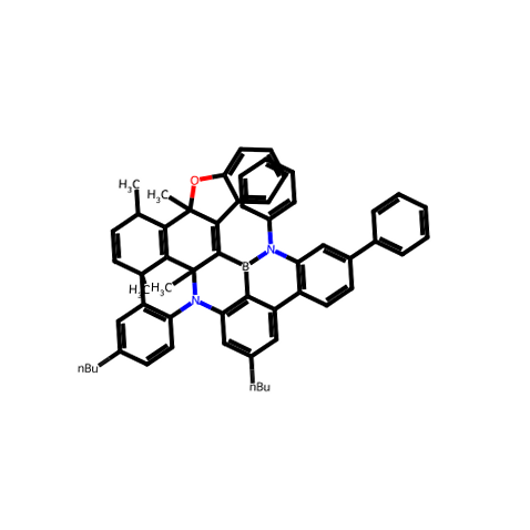 CCCCc1cc2c3c(c1)N1c4ccc(CCCC)cc4C4(C)C=CC(C)C5=C4C1(C)C(=C1c4ccccc4OC15C)B3N(c1ccccc1)c1cc(-c3ccccc3)ccc1-2